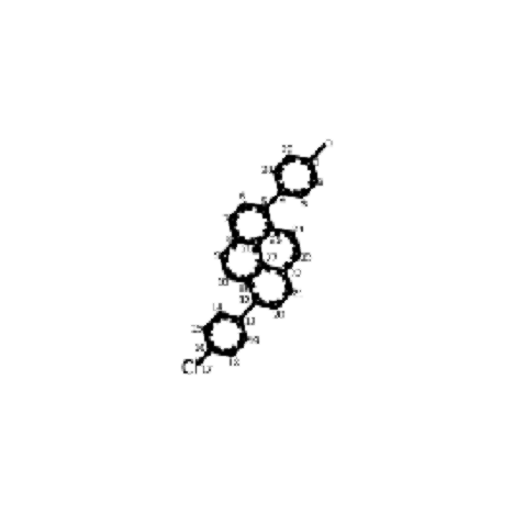 Cc1ccc(-c2ccc3ccc4c(-c5ccc(Cl)cc5)ccc5ccc2c3c54)cc1